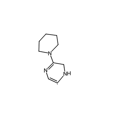 [C]1=CN=C(N2CCCCC2)CN1